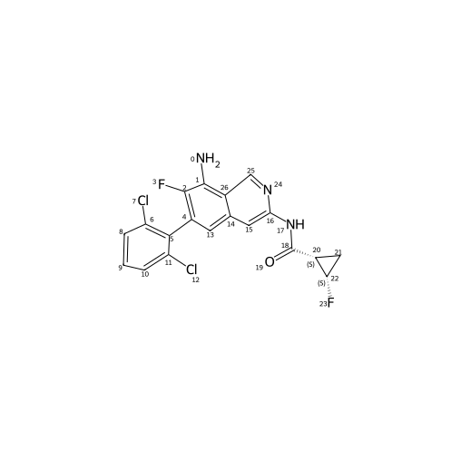 Nc1c(F)c(-c2c(Cl)cccc2Cl)cc2cc(NC(=O)[C@@H]3C[C@@H]3F)ncc12